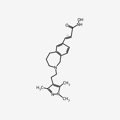 Cc1nn(C)c(C)c1CCN1CCCc2cc(/C=C/C(=O)NO)ccc2C1